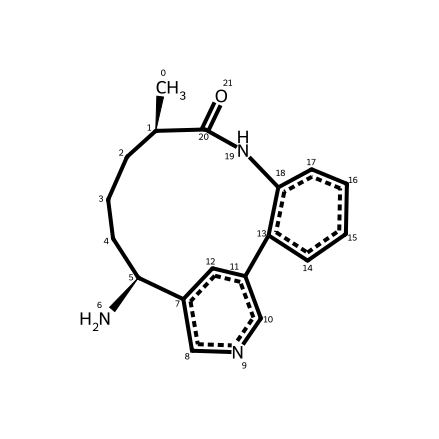 C[C@@H]1CCC[C@H](N)c2cncc(c2)-c2ccccc2NC1=O